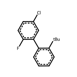 CC(C)(C)c1ccccc1-c1cc(Cl)ccc1F